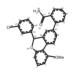 COc1cccc2c1-c1ccc(-c3ccccc3C(N)=O)cc1C(c1cccc(Cl)c1)O2